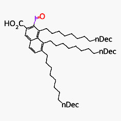 CCCCCCCCCCCCCCCCCCc1ccc2cc(C(=O)O)c(I=O)c(CCCCCCCCCCCCCCCCCC)c2c1CCCCCCCCCCCCCCCCCC